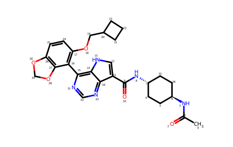 CC(=O)N[C@H]1CC[C@H](NC(=O)c2c[nH]c3c(-c4c(OCC5CCC5)ccc5c4OCO5)ncnc23)CC1